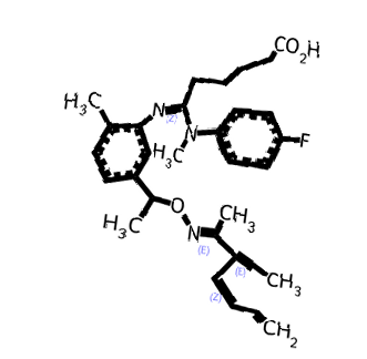 C=C\C=C/C(=C\C)C(/C)=N/OC(C)c1ccc(C)c(/N=C(/CCCCC(=O)O)N(C)c2ccc(F)cc2)c1